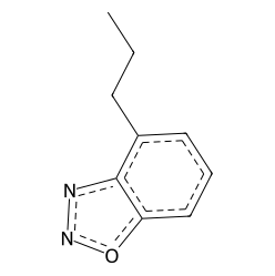 CCCc1cccc2onnc12